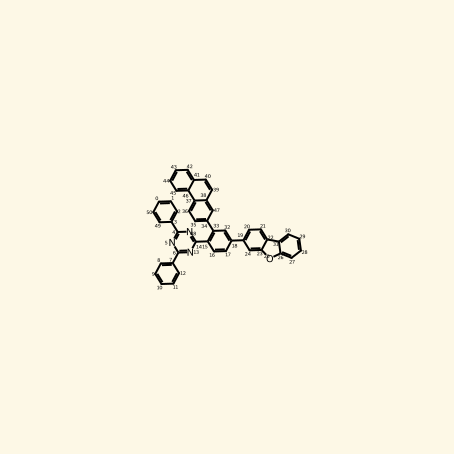 c1ccc(-c2nc(-c3ccccc3)nc(-c3ccc(-c4ccc5c(c4)oc4ccccc45)cc3-c3ccc4c(ccc5ccccc54)c3)n2)cc1